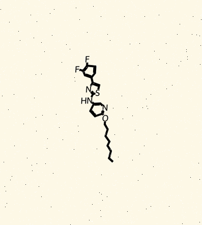 CCCCCCCCOc1ccc(Nc2nc(-c3ccc(F)c(F)c3)cs2)cn1